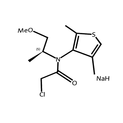 COC[C@H](C)N(C(=O)CCl)c1c(C)csc1C.[NaH]